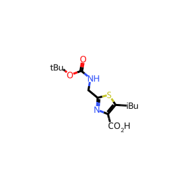 CCC(C)c1sc(CNC(=O)OC(C)(C)C)nc1C(=O)O